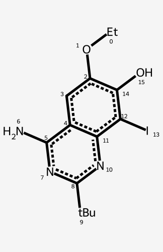 CCOc1cc2c(N)nc(C(C)(C)C)nc2c(I)c1O